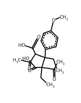 CCC(C(C)=O)(C(=O)O)C(CC)(c1ccc(OC)cc1)C(C(C)=O)C(=O)O